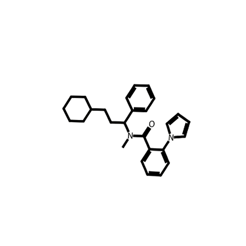 CN(C(=O)c1ccccc1-n1cccc1)C(CCC1CCCCC1)c1ccccc1